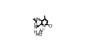 CC(=O)Nc1c(C)cc(Cl)nc1C#N.O.[Li+].[OH-]